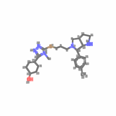 Cn1c(SCCCN2CC3CCNC3C2c2ccc(C(F)(F)F)cc2)nnc1C1CCC(O)CC1